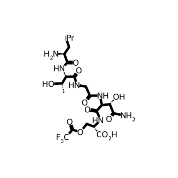 CC(C)C[C@H](N)C(=O)N[C@H](C(=O)NCC(=O)NC(C(=O)N[C@@H](COC(=O)C(F)(F)F)C(=O)O)[C@H](O)C(N)=O)[C@H](C)O